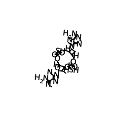 C=Nc1c(/C(N)=N\C)ncn1[C@@H]1O[C@@H]2COP(=O)(S)OC[C@@H]3[C@@H](COP(=O)(S)O[C@H]2[C@H]1C)C[C@H]3n1cnc2c(N)ncnc21